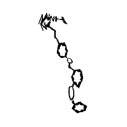 c1ccc(Oc2cccc(COc3ccc(CCc4nnn[nH]4)cc3)c2)cc1